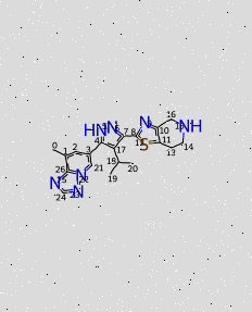 Cc1cc(-c2[nH]nc(-c3nc4c(s3)CCNC4)c2C(C)C)cn2ncnc12